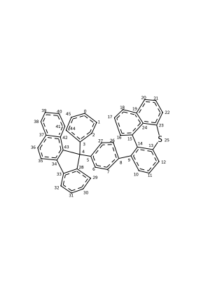 c1ccc(C2(c3ccc(-c4cccc5c4-c4cccc6cccc(c46)S5)cc3)c3ccccc3-c3ccc4ccccc4c32)cc1